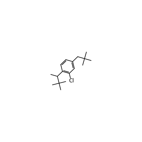 CC(c1ccc(CC(C)(C)C)cc1Cl)C(C)(C)C